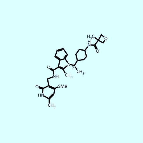 CSc1cc(C)[nH]c(=O)c1CNC(=O)c1c(C)n([C@H](C)C2CCC(NC(=O)C3(C)COC3)CC2)c2ccccc12